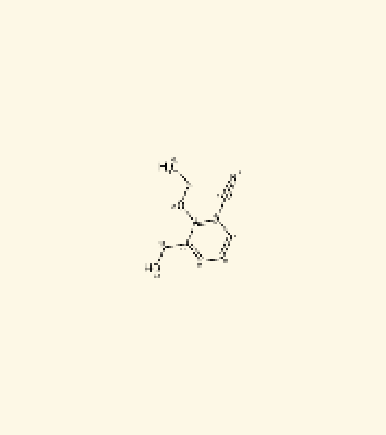 CCOc1c(C#N)cccc1CO